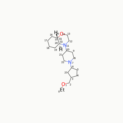 CCOCC1CCC(N2CCC(N3CCO[C@H]4CCCC[C@@H]43)CC2)C1